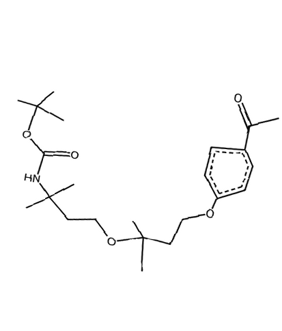 CC(=O)c1ccc(OCCC(C)(C)OCCC(C)(C)NC(=O)OC(C)(C)C)cc1